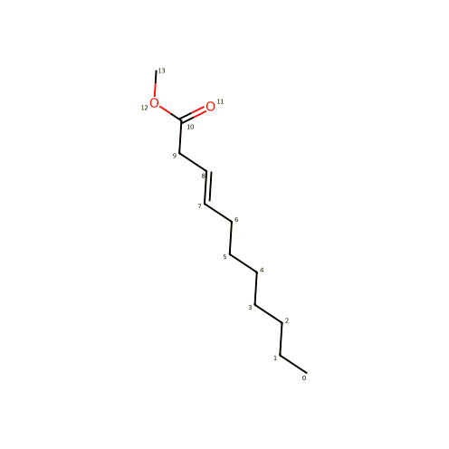 CCCCCCCC=CCC(=O)OC